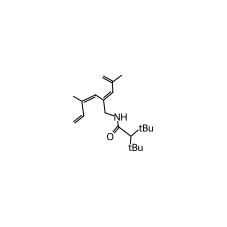 C=C/C(C)=C\C(=C/C(=C)C)CNC(=O)C(C(C)(C)C)C(C)(C)C